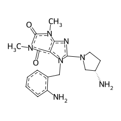 Cn1c(=O)c2c(nc(N3CC[C@H](N)C3)n2Cc2ccccc2N)n(C)c1=O